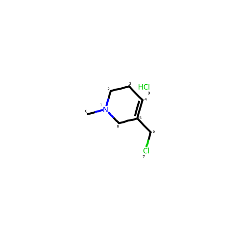 CN1CCC=C(CCl)C1.Cl